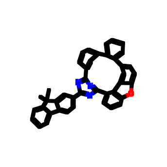 CC1(C)c2ccccc2-c2ccc(-c3nc4nc(n3)c3cccc5oc6ccc(cc6c53)c3ccccc3c3cccc4c3)cc21